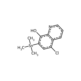 [CH3][Sn]([CH3])([CH3])[c]1cc(Cl)c2cccnc2c1O